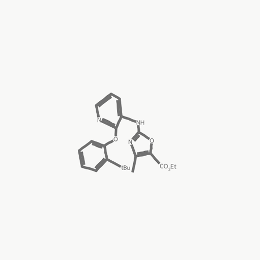 CCOC(=O)c1oc(Nc2cccnc2Oc2ccccc2C(C)(C)C)nc1C